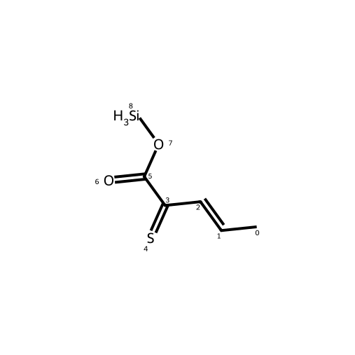 CC=CC(=S)C(=O)O[SiH3]